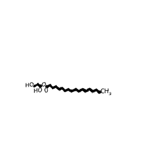 CCCCCCCCCCCCCCCCCC(=O)OC(O)CCO